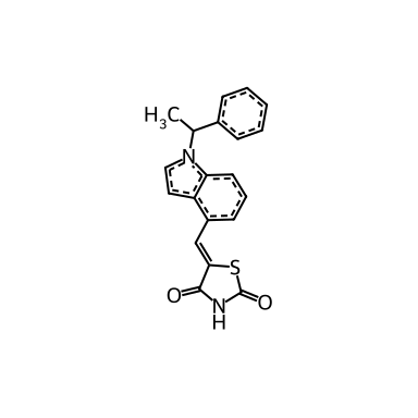 CC(c1ccccc1)n1ccc2c(/C=C3\SC(=O)NC3=O)cccc21